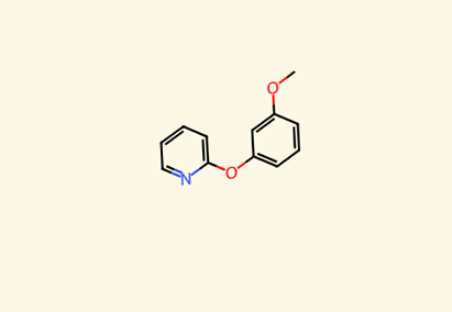 COc1cccc(Oc2ccccn2)c1